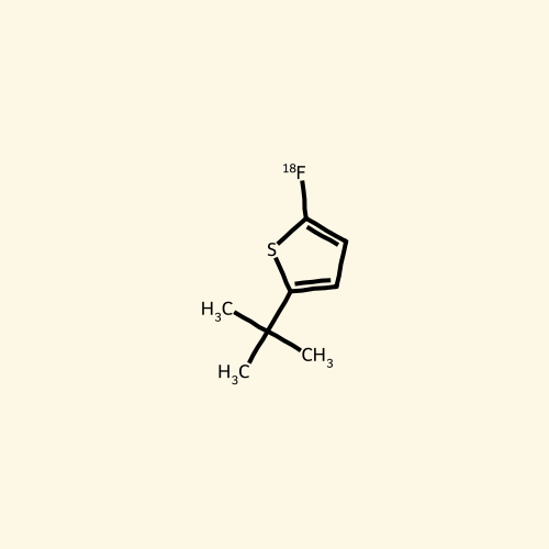 CC(C)(C)c1ccc([18F])s1